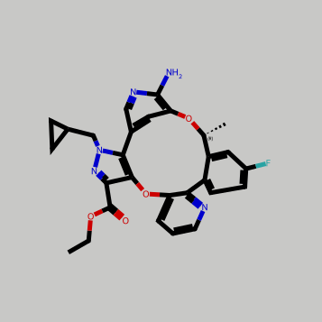 CCOC(=O)c1nn(CC2CC2)c2c1Oc1cccnc1-c1ccc(F)cc1[C@@H](C)Oc1cc-2cnc1N